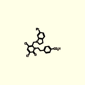 CC(C)c1ccc2c(c1)N(Cc1c(Cl)cc(Cl)c(=O)n1CCc1ccc(C(=O)O)cc1)CC2